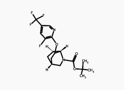 CC(C)(C)OC(=O)N1C[C@@H]2CC[C@H]1[C@H](Oc1ncc(C(F)(F)F)cc1F)C2